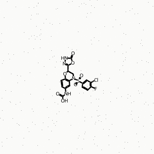 O=C(O)Nc1ccc2c(c1)N(S(=O)(=O)c1ccc(F)c(Cl)c1)CC(c1n[nH]c(=O)o1)O2